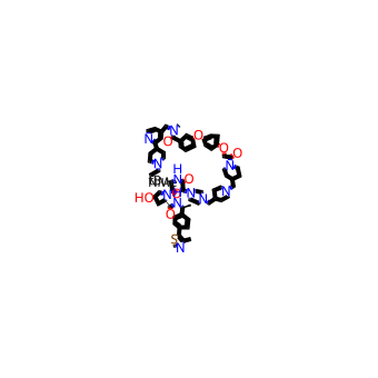 CNCCN1CCC(c2cc(CN(C)C(=O)c3cccc(Oc4ccc(OCC(=O)N5CCC(CN6CCC(CN7CCN(CC(=O)N[C@H](C(=O)N8C[C@H](O)C[C@H]8C(=O)N[C@@H](C)c8ccc(-c9scnc9C)cc8)C(C)(C)C)CC7)CC6)CC5)cc4)c3)ccn2)CC1